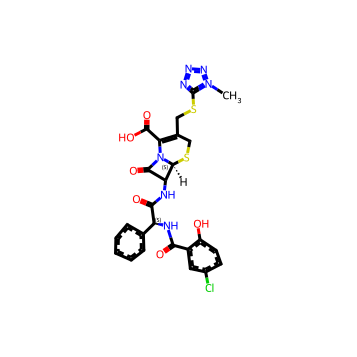 Cn1nnnc1SCC1=C(C(=O)O)N2C(=O)C(NC(=O)[C@@H](NC(=O)c3cc(Cl)ccc3O)c3ccccc3)[C@@H]2SC1